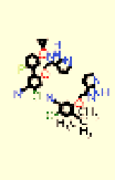 CC(C)(C)c1cc(Cl)c(C#N)cc1OCc1n[nH]c2ncccc12.N#Cc1cc(-c2cc(OC3CC3)ccc2F)c(OCc2n[nH]c3ncccc23)cc1Cl